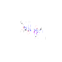 CC(C)[C@H](NC(=O)CCC(=O)O)C(=O)NCCNC(=O)[C@@H](NC(=O)CCC(=O)O)C(C)C